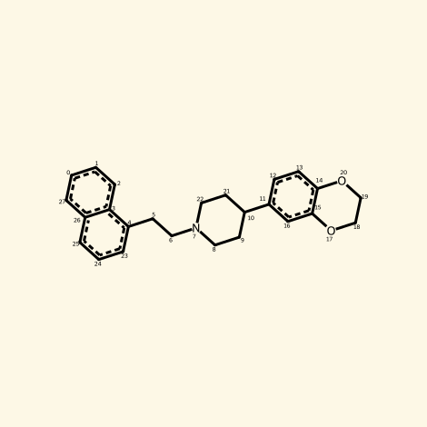 c1ccc2c(CCN3CCC(c4ccc5c(c4)OCCO5)CC3)cccc2c1